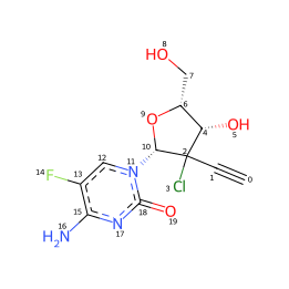 C#CC1(Cl)[C@@H](O)[C@@H](CO)O[C@H]1n1cc(F)c(N)nc1=O